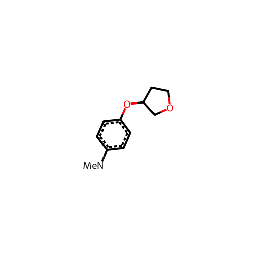 CNc1ccc(OC2CCOC2)cc1